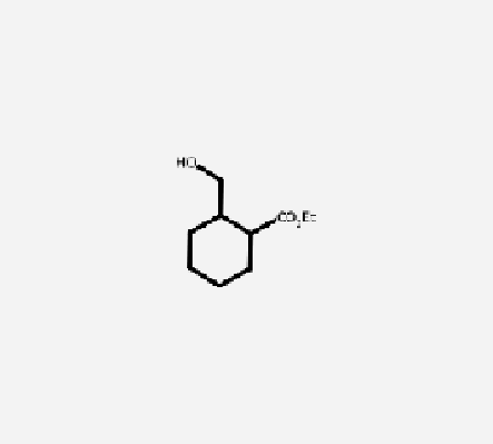 CCOC(=O)C1CCCCC1CO